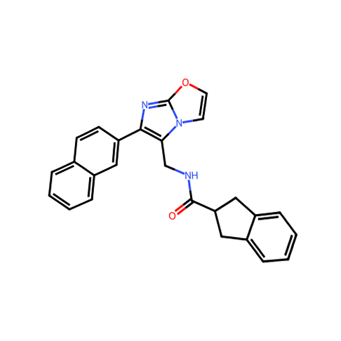 O=C(NCc1c(-c2ccc3ccccc3c2)nc2occn12)C1Cc2ccccc2C1